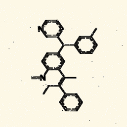 C=Nc1ccc(C(c2cccnc2)c2cccc(C)c2)cc1/C(C)=C(\CC)c1ccccc1